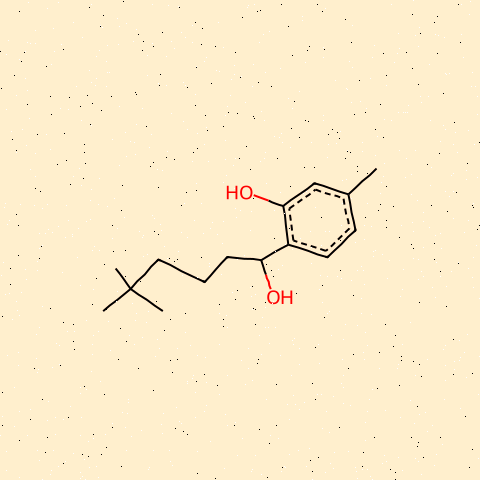 Cc1ccc(C(O)CCCC(C)(C)C)c(O)c1